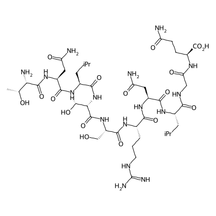 CC(C)C[C@H](NC(=O)[C@H](CC(N)=O)NC(=O)[C@H](CCCNC(=N)N)NC(=O)[C@H](CO)NC(=O)[C@@H](NC(=O)[C@H](CC(C)C)NC(=O)[C@H](CC(N)=O)NC(=O)[C@@H](N)[C@@H](C)O)[C@@H](C)O)C(=O)NCC(=O)N[C@@H](CCC(N)=O)C(=O)O